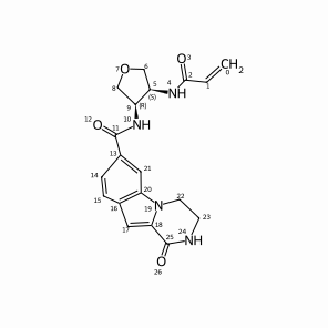 C=CC(=O)N[C@@H]1COC[C@@H]1NC(=O)c1ccc2cc3n(c2c1)CCNC3=O